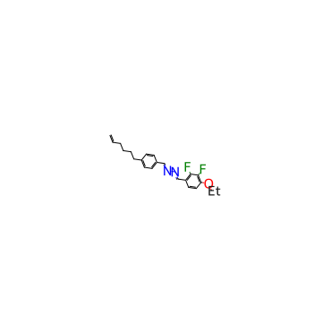 C=CCCCCc1ccc(C=NN=Cc2ccc(OCC)c(F)c2F)cc1